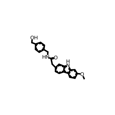 COc1ccc2c(c1)[nH]c1cc(CC(=O)NCc3ccc(CO)cc3)ccc12